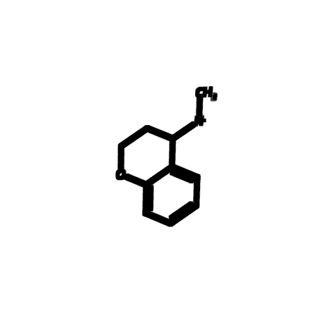 C[N]C1CCOc2ccccc21